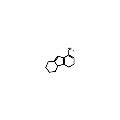 NC1=CCCC2=C1C=C1CCCCC12